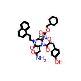 NC(=O)C[C@H]1C(=O)N(CCc2cccc3ccccc23)C[C@@H]2N(C(=O)OCC3CCCCC3)O[C@@H](Cc3ccc(O)cc3)C(=O)N21